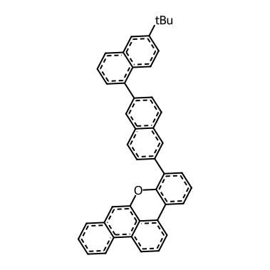 CC(C)(C)c1ccc2c(-c3ccc4cc(-c5cccc6c5Oc5cc7ccccc7c7cccc-6c57)ccc4c3)cccc2c1